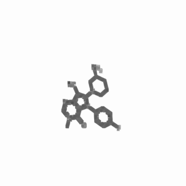 Cn1cnc2c(C#N)c(N3CCC[C@H](N)C3)n(-c3ccc(F)cc3)c2c1=O